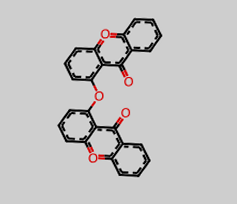 O=c1c2ccccc2oc2cccc(Oc3cccc4oc5ccccc5c(=O)c34)c12